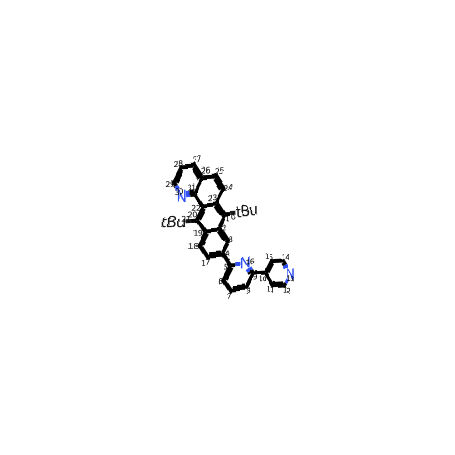 CC(C)(C)c1c2cc(-c3cccc(-c4ccncc4)n3)ccc2c(C(C)(C)C)c2c1ccc1cccnc12